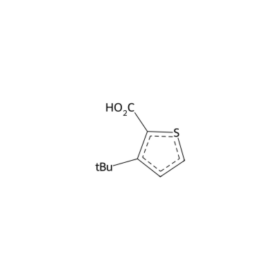 CC(C)(C)c1ccsc1C(=O)O